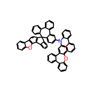 c1ccc(-c2ccccc2N(c2ccc3c(c2)-c2ccccc2-c2ccccc2O3)c2ccc3c(c2)-c2ccccc2-c2ccccc2C32c3ccccc3-c3c2ccc2c3oc3ccccc32)cc1